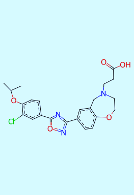 CC(C)Oc1ccc(-c2nc(-c3ccc4c(c3)CN(CCC(=O)O)CCO4)no2)cc1Cl